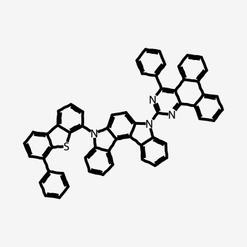 c1ccc(-c2cccc3c2sc2c(-n4c5ccccc5c5c6c7ccccc7n(-c7nc(-c8ccccc8)c8c9ccccc9c9ccccc9c8n7)c6ccc54)cccc23)cc1